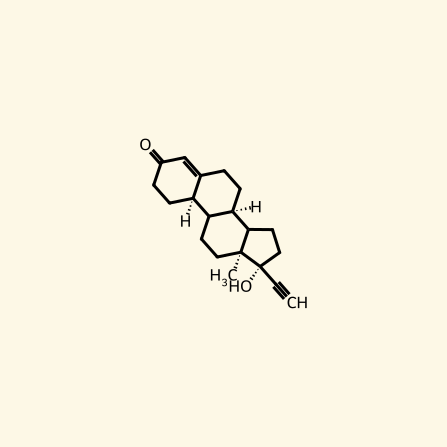 C#C[C@]1(O)CCC2[C@@H]3CCC4=CC(=O)CC[C@@H]4C3CC[C@@]21C